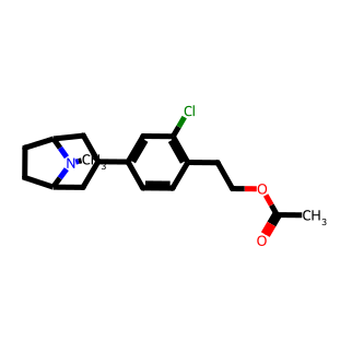 CC(=O)OCCc1ccc(C2CC3CCC(C2)N3C)cc1Cl